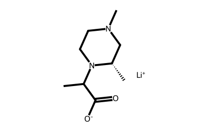 CC(C(=O)[O-])N1CCN(C)C[C@@H]1C.[Li+]